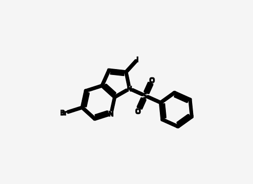 O=S(=O)(c1ccccc1)n1c(I)cc2cc(Br)cnc21